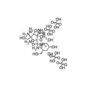 NOC(N)(N)[C@@]1(O[C@H]2O[C@H](CO)[C@@H](O)[C@H](O)[C@H]2O)O[C@](N)(CO)[C@@](N)(ON)[C@]1(N)ON.O=S(=O)(O)O.O=S(=O)(O)O.O=S(=O)(O)O.O=S(=O)(O)O